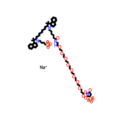 CC1(C)C(/C=C/C=C/C=C/C=C2\N(CCCCS(=O)(=O)[O-])c3ccc4ccccc4c3C2(C)C)=[N+](CCCCCC(=O)NCCOCCOCCOCCOCCOCCOCCOCCOCCC(=O)ON2C(=O)CC(S(=O)(=O)[O-])C2=O)c2ccc3ccccc3c21.[Na+]